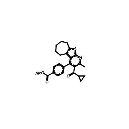 COC(=O)c1ccc(-c2c(C(=O)C3CC3)c(C)nc3sc4c(c23)CCCCC4)cc1